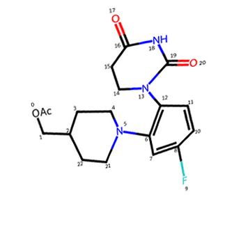 CC(=O)OCC1CCN(c2cc(F)ccc2N2CCC(=O)NC2=O)CC1